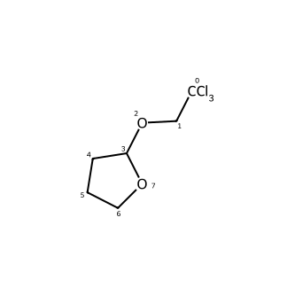 ClC(Cl)(Cl)COC1CCCO1